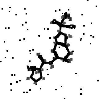 Cl.NS(=O)(=O)c1cc2cc(OC(=O)[C@H]3CCCN3)ccc2s1